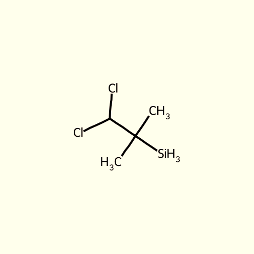 CC(C)([SiH3])C(Cl)Cl